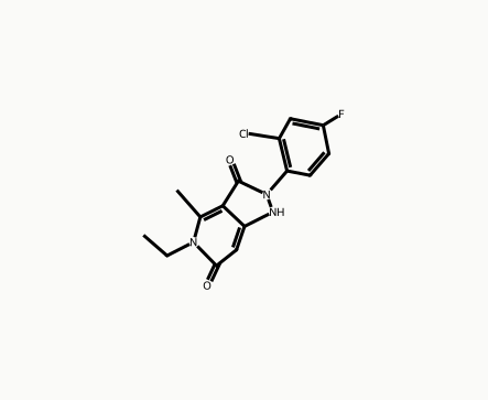 CCn1c(C)c2c(=O)n(-c3ccc(F)cc3Cl)[nH]c2cc1=O